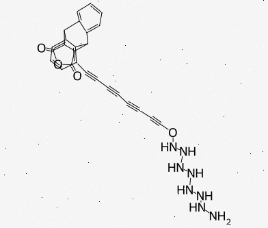 NNNNNNNNOC#CC#CC#CC#Cc1cccc2c1C1c3ccccc3C2C2C(=O)OC(=O)C12